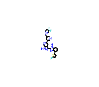 Fc1ccc(-c2cccc3[nH]c(-c4n[nH]c5cnc(-c6cncc(CN7CCC(F)(F)C7)c6)cc45)nc23)s1